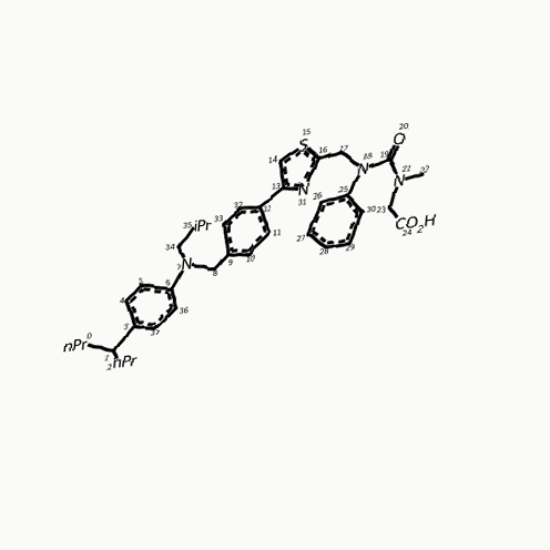 CCCC(CCC)c1ccc(N(Cc2ccc(-c3csc(CN(C(=O)N(C)CC(=O)O)c4ccccc4)n3)cc2)CC(C)C)cc1